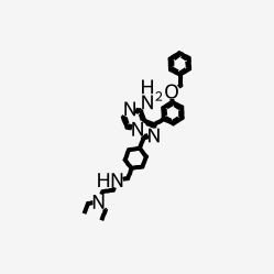 CCN(CC)CCNCC1CCC(c2nc(-c3cccc(OCc4ccccc4)c3)c3c(N)nccn23)CC1